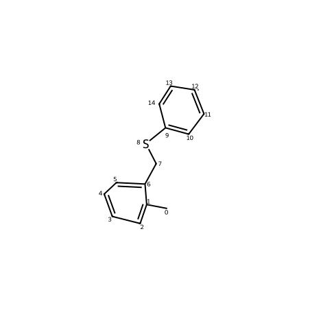 Cc1ccccc1CSc1cc[c]cc1